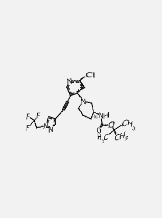 CC(C)(C)OC(=O)N[C@H]1CCCN(c2cc(Cl)ncc2C#Cc2cnn(CC(F)(F)F)c2)C1